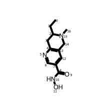 CCC1Cc2ncc(C(=O)NO)cc2CN1C